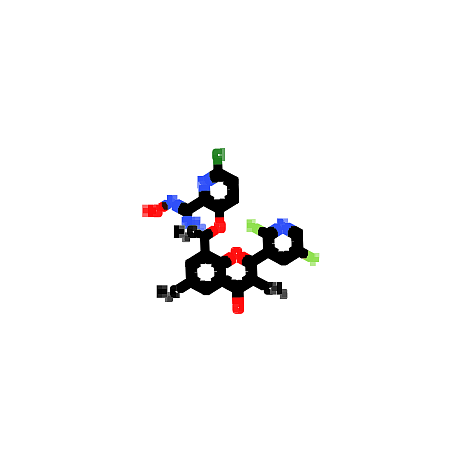 Cc1cc([C@@H](C)Oc2ccc(Cl)nc2C(N)=NO)c2oc(-c3cc(F)cnc3F)c(C)c(=O)c2c1